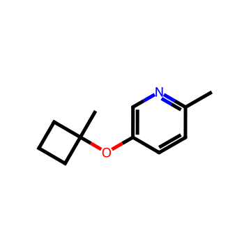 Cc1ccc(OC2(C)CCC2)cn1